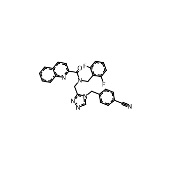 N#Cc1ccc(Cn2cnnc2CN(Cc2c(F)cccc2F)C(=O)c2ccc3ccccc3n2)cc1